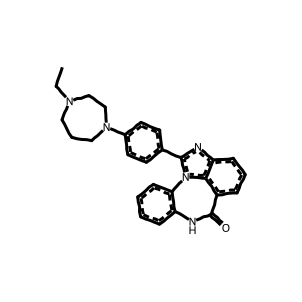 CCN1CCCN(c2ccc(-c3nc4cccc5c4n3-c3ccccc3NC5=O)cc2)CC1